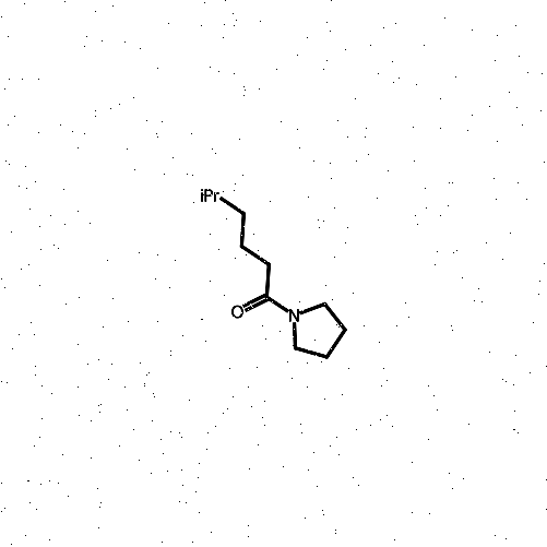 CC(C)CCCC(=O)N1CCCC1